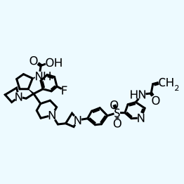 C=CC(=O)Nc1cncc(S(=O)(=O)c2ccc(N3CC(CN4CCC(C(CN5CCC5)(c5cccc(F)c5)[C@H]5CCC[C@@H]5NC(=O)O)CC4)C3)cc2)c1